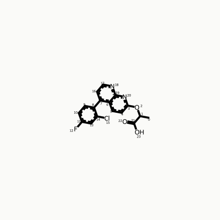 CC(Oc1ccc2c(-c3ccc(F)cc3Cl)ccnc2n1)C(=O)O